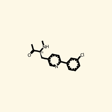 CN[C@@H](Cc1ccc(-c2cccc(Cl)c2)nc1)C(C)=O